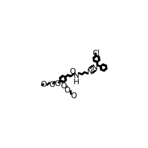 COCCOCOc1ccc(C=CC(=O)NCCCCN2CCN(C(c3ccccc3)c3ccc(Cl)cc3)CC2)cc1OCOCCOC